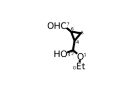 CCOC(O)C1CC1C=O